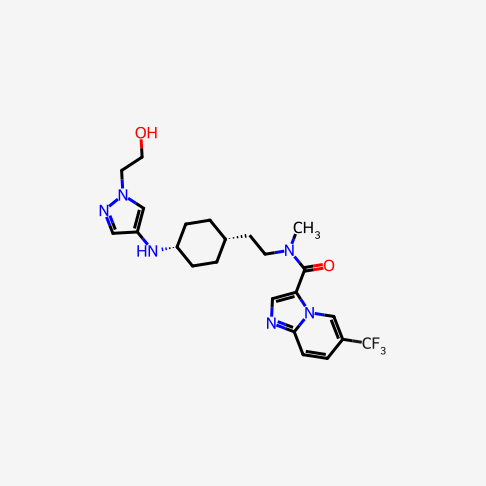 CN(CC[C@H]1CC[C@@H](Nc2cnn(CCO)c2)CC1)C(=O)c1cnc2ccc(C(F)(F)F)cn12